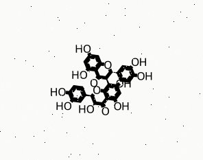 O=C1c2c(O)cc(O)cc2O[C@H](c2ccc(O)c(O)c2)[C@H]1c1c(O)cc(O)c2c1O[C@H](c1ccc(O)c(O)c1)[C@@H](O)C2=O